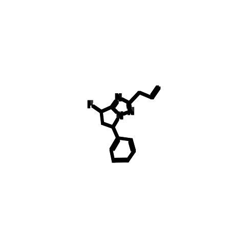 C=CCc1nc2n(n1)C(c1ccccc1)CC2F